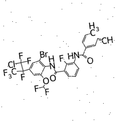 C=C/C=C(\C=C/C)C(=O)Nc1cccc(C(=O)Nc2c(Br)cc(C(F)(C(F)(F)F)C(F)(F)Cl)cc2OC(F)F)c1F